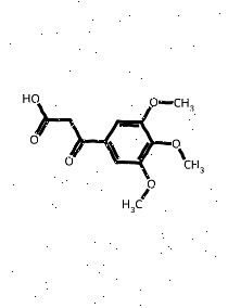 COc1cc(C(=O)CC(=O)O)cc(OC)c1OC